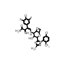 Cc1nc(C2OC3COC3C(N/C=C(\C(=N)C(N)=O)c3cc(F)c(Cl)c(F)c3)C2O)n(-c2cc(Cl)ccc2C(F)(F)F)n1